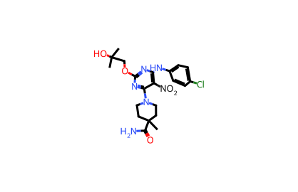 CC(C)(O)COc1nc(Nc2ccc(Cl)cc2)c([N+](=O)[O-])c(N2CCC(C)(C(N)=O)CC2)n1